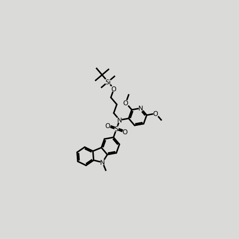 COc1ccc(N(CCCO[Si](C)(C)C(C)(C)C)S(=O)(=O)c2ccc3c(c2)c2ccccc2n3C)c(OC)n1